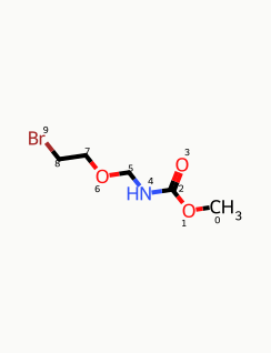 COC(=O)NCOCCBr